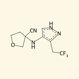 N#CC1(Nc2c[nH]nc2CC(F)(F)F)CCOC1